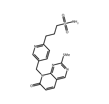 CSc1ncc2ccc(=O)n(Cc3ccc(CCCS(N)(=O)=O)nc3)c2n1